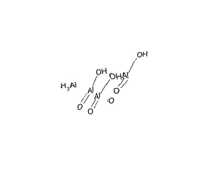 [AlH3].[O].[O]=[Al][OH].[O]=[Al][OH].[O]=[Al][OH]